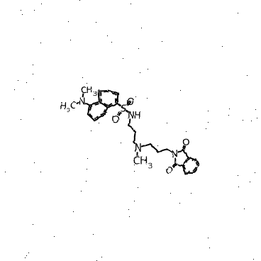 CN(CCCNS(=O)(=O)c1cccc2c(N(C)C)cccc12)CCCN1C(=O)c2ccccc2C1=O